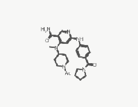 CC(=O)N1CCC(N(C)c2cc(Nc3ccc(C(=O)N4CCCC4)cc3)ncc2C(N)=O)CC1